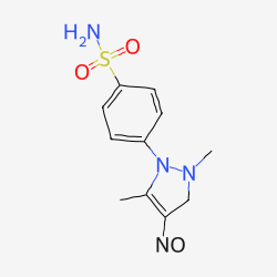 CC1=C(N=O)CN(C)N1c1ccc(S(N)(=O)=O)cc1